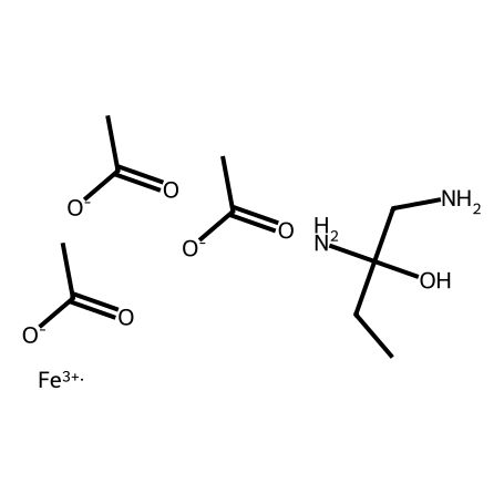 CC(=O)[O-].CC(=O)[O-].CC(=O)[O-].CCC(N)(O)CN.[Fe+3]